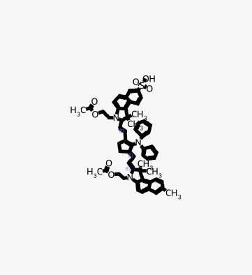 CC(=O)OCCN1/C(=C/C=C2\CCC(/C=C/C3N(CCOC(C)=O)c4ccc5cc(S(=O)(=O)O)ccc5c4C3(C)C)=C2N(c2ccccc2)c2ccccc2)C(C)(C)c2c1ccc1cc(C)ccc21